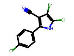 N#Cc1c(-c2ccc(Cl)cc2)[nH]c(Cl)c1Br